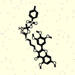 COc1cc(OC)c2c(=O)c(OCCCSC3=NNC(C)(OS(=O)(=O)c4ccc(C)cc4)O3)c(-c3cc(OC)c(OC)c(OC)c3)oc2c1